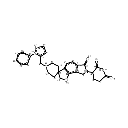 O=C1CCC(N2Cc3c(ccc4c3OCC43CCN(Cc4ccnn4-c4ccccc4)CC3)C2=O)C(=O)N1